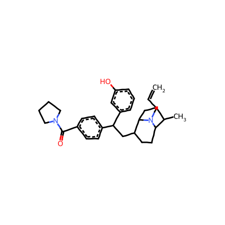 C=CCN1C2CCC(CC(c3ccc(C(=O)N4CCCC4)cc3)c3cccc(O)c3)C1CCC2C